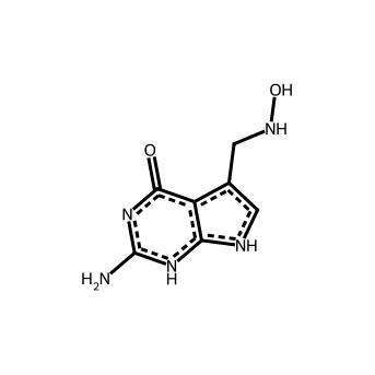 Nc1nc(=O)c2c(CNO)c[nH]c2[nH]1